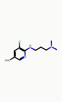 CN(C)CCCNc1ncc(C=O)cc1Cl